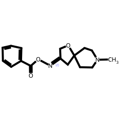 CN1CCC2(CC1)C/C(=N/OC(=O)c1ccccc1)CO2